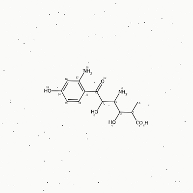 CC(C(=O)O)C(O)C(N)C(O)C(=O)c1ccc(O)cc1N